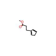 COC(=O)CCC1=CCC=C1